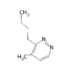 CCCCc1nnccc1C